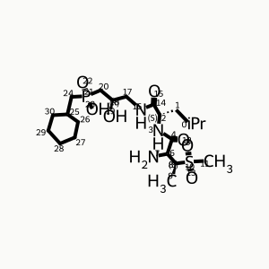 CC(C)C[C@H](NC(=O)C(N)[C@H](C)S(C)(=O)=O)C(=O)NC[C@@H](O)CP(=O)(O)CC1CCCCC1